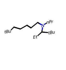 CCCN(CCCCCC(C)(C)C)C(CC)C(C)(C)C